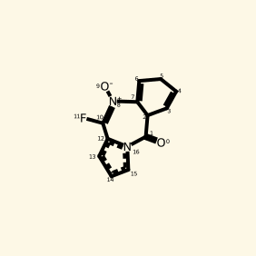 O=C1C2C=CCC=C2[N+]([O-])=C(F)c2cccn21